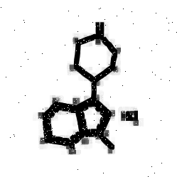 Cl.Cn1cc(C2CCNCC2)c2cccnc21